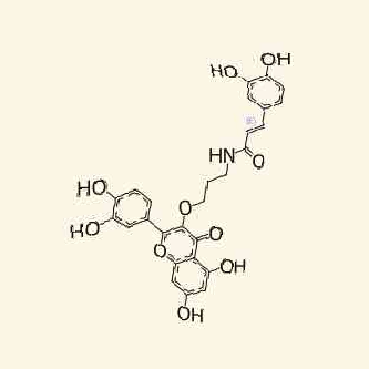 O=C(/C=C/c1ccc(O)c(O)c1)NCCCOc1c(-c2ccc(O)c(O)c2)oc2cc(O)cc(O)c2c1=O